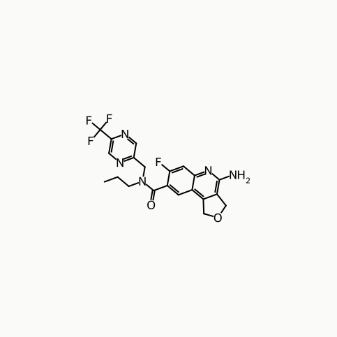 CCCN(Cc1cnc(C(F)(F)F)cn1)C(=O)c1cc2c3c(c(N)nc2cc1F)COC3